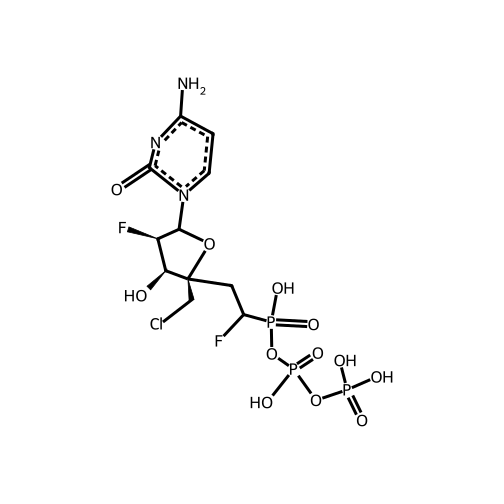 Nc1ccn(C2O[C@](CCl)(CC(F)P(=O)(O)OP(=O)(O)OP(=O)(O)O)[C@@H](O)[C@H]2F)c(=O)n1